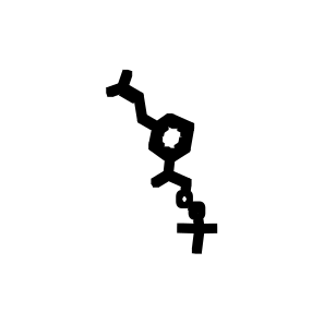 CC(C)=CCc1cccc(C(C)COOC(C)(C)C)c1